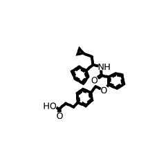 O=C(O)CCc1ccc(COc2ccccc2C(=O)NC(CC2CC2)c2ccccc2)cc1